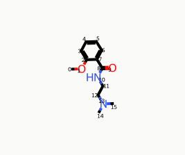 COc1ccccc1C(=O)NCCN(C)C